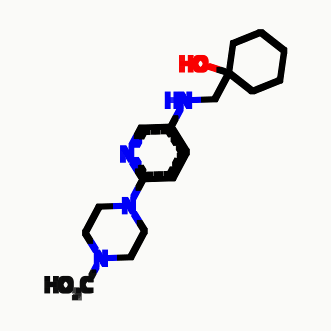 O=C(O)N1CCN(c2ccc(NCC3(O)CCCCC3)cn2)CC1